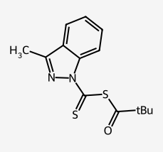 Cc1nn(C(=S)SC(=O)C(C)(C)C)c2ccccc12